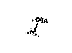 COC1(OC)CCN[C@H]1CC=CCCC(C)C(=O)O